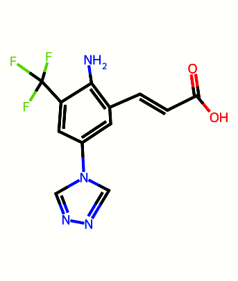 Nc1c(C=CC(=O)O)cc(-n2cnnc2)cc1C(F)(F)F